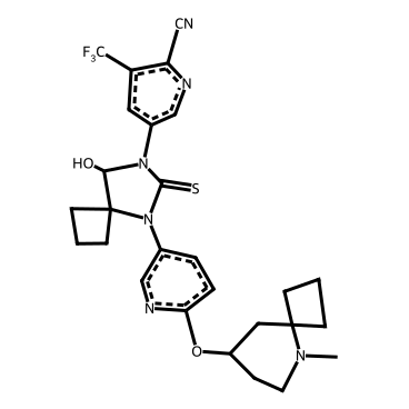 CN1CCC(Oc2ccc(N3C(=S)N(c4cnc(C#N)c(C(F)(F)F)c4)C(O)C34CCC4)cn2)CC12CCC2